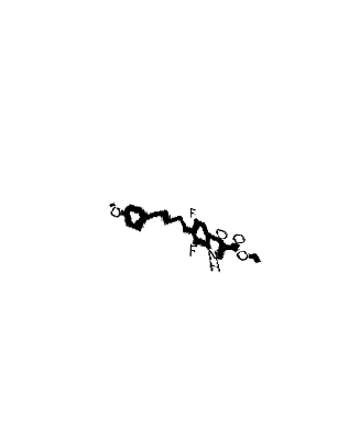 CCOC(=O)c1c[nH]c2c(F)c(CCCCc3ccc(OC)cc3)c(F)cc2c1=O